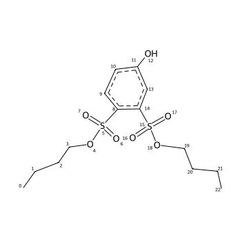 CCCCOS(=O)(=O)c1ccc(O)cc1S(=O)(=O)OCCCC